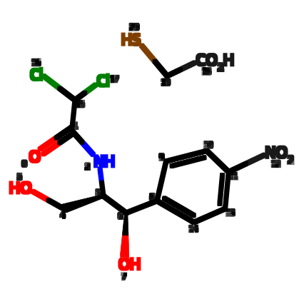 O=C(N[C@H](CO)[C@H](O)c1ccc([N+](=O)[O-])cc1)C(Cl)Cl.O=C(O)CS